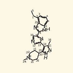 CCc1cccc2[nH]c(-c3cncc(-c4c(C)n[nH]c4C4CCN(C)CC4)n3)nc12